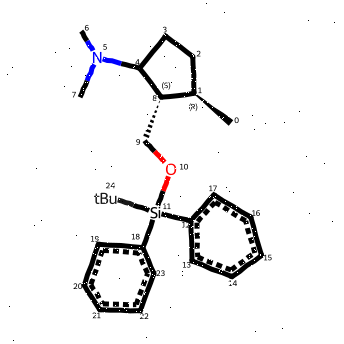 C[C@@H]1CCC(N(C)C)[C@H]1CO[Si](c1ccccc1)(c1ccccc1)C(C)(C)C